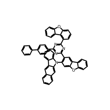 c1ccc(-c2ccc(-c3nc(-c4cc5c(cc4-n4c6ccccc6c6cc7ccccc7cc64)oc4ccccc45)nc(-c4cccc5oc6ccccc6c45)n3)cc2)cc1